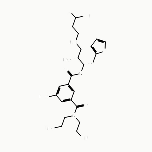 CCCN(CCC)C(=O)c1cc(C)cc(C(=O)N[C@@H](Cc2ccco2)[C@H](O)CNCCC(C)C)c1